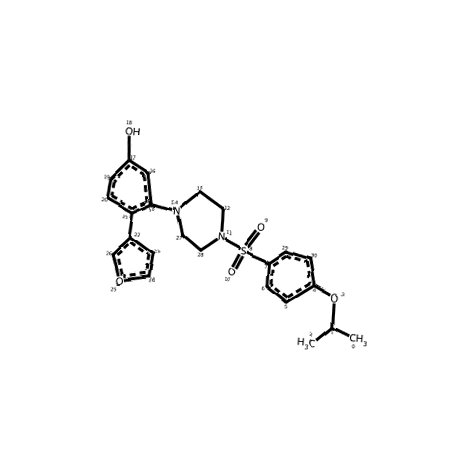 CC(C)Oc1ccc(S(=O)(=O)N2CCN(c3cc(O)ccc3-c3ccoc3)CC2)cc1